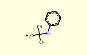 CC(C#N)(C#N)Nc1ccccc1